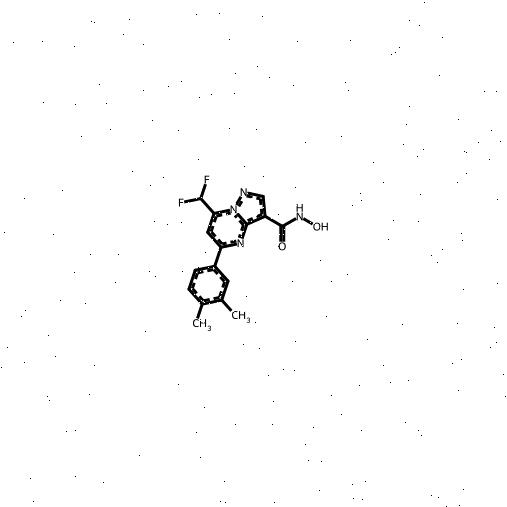 Cc1ccc(-c2cc(C(F)F)n3ncc(C(=O)NO)c3n2)cc1C